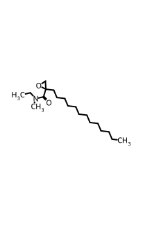 CCCCCCCCCCCCCC1(C(=O)N(C)CC)CO1